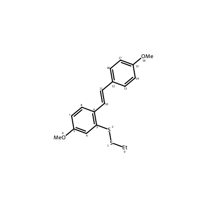 CCSSc1cc(OC)ccc1C=Cc1ccc(OC)cc1